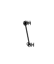 O=C(CCCCCCCCCCCCCCCCCCCCCCCCCCCOP(=O)(O)O)NO